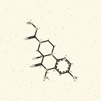 CCCCOC(=O)N1CCN2c3ncc(C#N)cc3N(C)C(=O)[C@@H]2C1